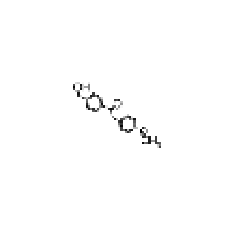 COc1ccc(CC(=O)c2ccc(CO)cc2)cc1